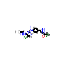 C#CCNc1nc(Nc2ccc(CCNC(=O)C(F)(F)F)cc2)ncc1Br